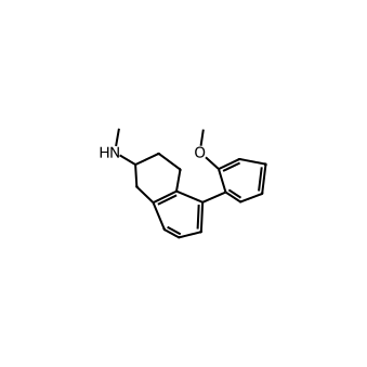 CNC1CCc2c(cccc2-c2ccccc2OC)C1